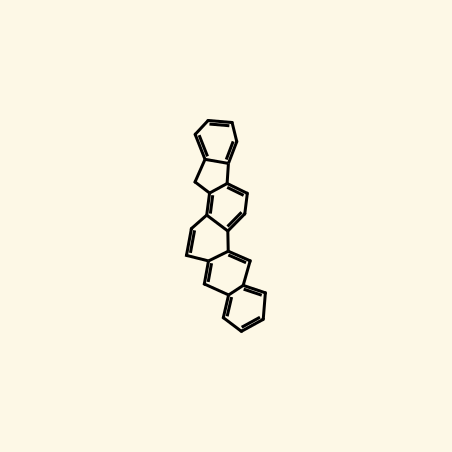 c1ccc2c(c1)Cc1c-2ccc2c1ccc1cc3ccccc3cc12